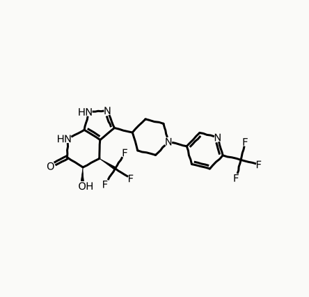 O=C1Nc2[nH]nc(C3CCN(c4ccc(C(F)(F)F)nc4)CC3)c2[C@@H](C(F)(F)F)[C@H]1O